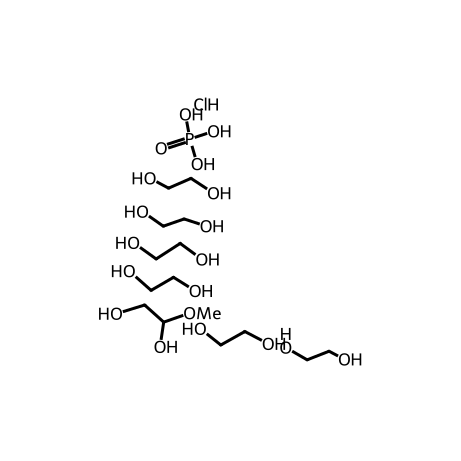 COC(O)CO.Cl.O=P(O)(O)O.OCCO.OCCO.OCCO.OCCO.OCCO.OCCO